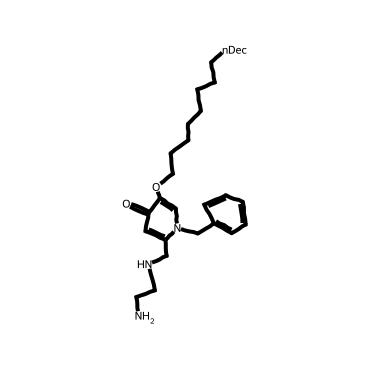 CCCCCCCCCCCCCCCCCCOc1cn(Cc2ccccc2)c(CNCCN)cc1=O